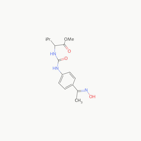 COC(=O)C(NC(=O)Nc1ccc(C(C)=NO)cc1)C(C)C